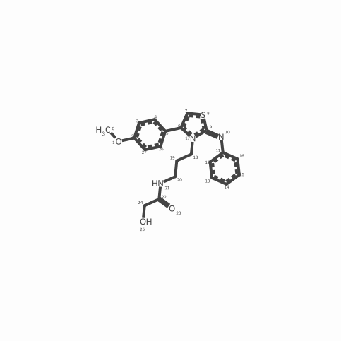 COc1ccc(-c2csc(=Nc3ccccc3)n2CCCNC(=O)CO)cc1